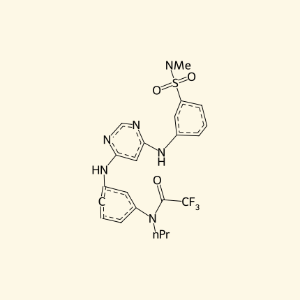 CCCN(C(=O)C(F)(F)F)c1cccc(Nc2cc(Nc3cccc(S(=O)(=O)NC)c3)ncn2)c1